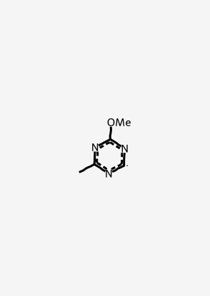 COc1n[c]nc(C)n1